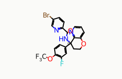 O=C(N[C@]1(c2ccc(OC(F)(F)F)c(F)c2)CCOc2cccnc21)c1ccc(Br)cn1